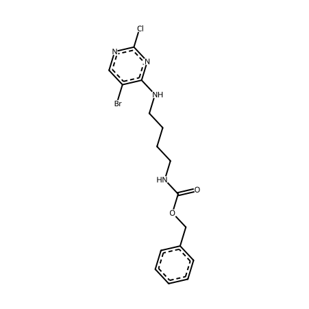 O=C(NCCCCNc1nc(Cl)ncc1Br)OCc1ccccc1